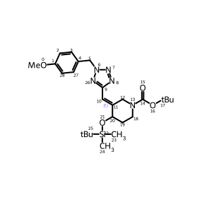 COc1ccc(Cn2nnc(/C=C3\CN(C(=O)OC(C)(C)C)CCC3O[Si](C)(C)C(C)(C)C)n2)cc1